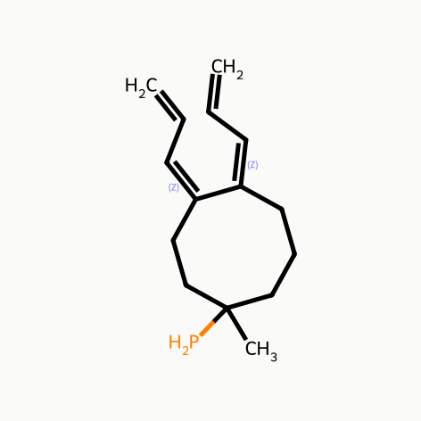 C=C/C=C1/CCCC(C)(P)CC/C1=C/C=C